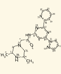 CC1CN(CC(=O)Nc2cc(-n3cccn3)nc(-c3ccccn3)n2)CC(C)N1